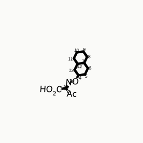 CC(=O)/C(=N\OC1CCC2CCCCC2C1)C(=O)O